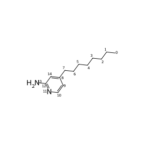 CCCCCCCCc1ccnc(N)c1